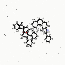 N=C1/C(=N\Nc2ccccc2)C=Cc2ccc3ccc(N(c4ccc5c(c4)sc4ccccc45)c4ccccc4-c4ccccc4-c4ccccc4)cc3c21